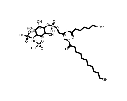 CCCCCCCCCCCCCCCC(=O)O[C@H](COC(=O)CCCCCCCCCCS)COP(=O)(O)OC1C(O)[C@H](OP(=O)(O)O)C(OP(=O)(O)O)[C@H](O)[C@@H]1O